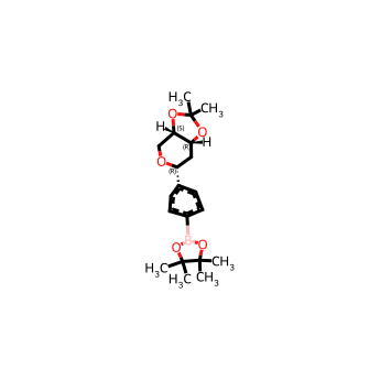 CC1(C)O[C@H]2CO[C@@H](c3ccc(B4OC(C)(C)C(C)(C)O4)cc3)C[C@H]2O1